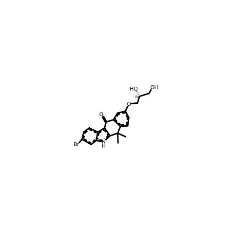 CC1(C)c2ccc(OC[C@H](O)CO)cc2C(=O)c2c1[nH]c1cc(Br)ccc21